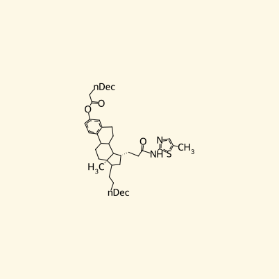 CCCCCCCCCCCCC1C[C@@H](CCC(=O)Nc2ncc(C)s2)C2C3CCc4cc(OC(=O)CCCCCCCCCCC)ccc4C3CC[C@]12C